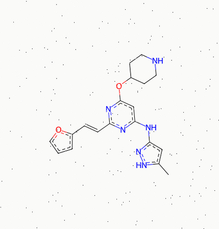 Cc1cc(Nc2cc(OC3CCNCC3)nc(/C=C/c3ccco3)n2)n[nH]1